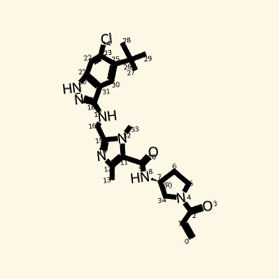 C=CC(=O)N1CC[C@@H](NC(=O)c2c(C)nc(CNc3n[nH]c4cc(Cl)c(C(C)(C)C)cc34)n2C)C1